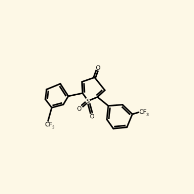 O=C1C=C(c2cccc(C(F)(F)F)c2)S(=O)(=O)C(c2cccc(C(F)(F)F)c2)=C1